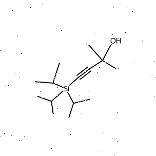 [CH2]C([CH2])(O)C#C[Si](C(C)C)(C(C)C)C(C)C